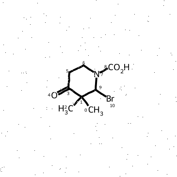 CC1(C)C(=O)CCN(C(=O)O)C1Br